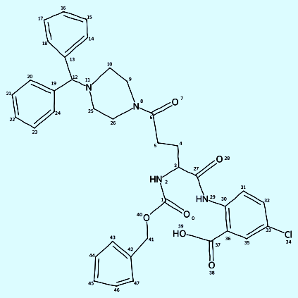 O=C(NC(CCC(=O)N1CCN(C(c2ccccc2)c2ccccc2)CC1)C(=O)Nc1ccc(Cl)cc1C(=O)O)OCc1ccccc1